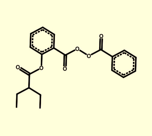 CCC(CC)C(=O)Oc1ccccc1C(=O)OOC(=O)c1ccccc1